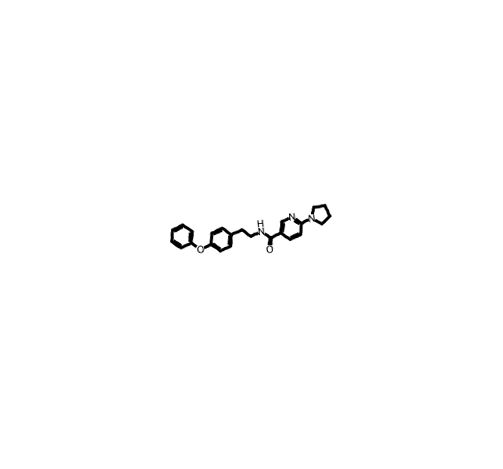 O=C(NCCc1ccc(Oc2ccccc2)cc1)c1ccc(N2CCCC2)nc1